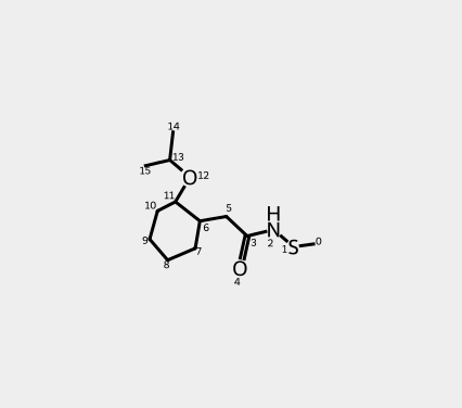 CSNC(=O)CC1CCCCC1OC(C)C